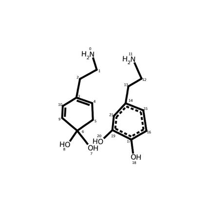 NCCC1=CCC(O)(O)C=C1.NCCc1ccc(O)c(O)c1